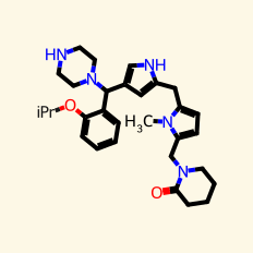 CC(C)Oc1ccccc1C(c1c[nH]c(Cc2ccc(CN3CCCCC3=O)n2C)c1)N1CCNCC1